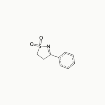 O=S1(=O)CCC(c2ccccc2)=N1